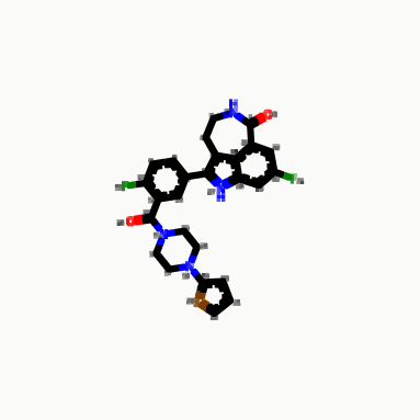 O=C1NCCc2c(-c3ccc(F)c(C(=O)N4CCN(c5cccs5)CC4)c3)[nH]c3cc(F)cc1c23